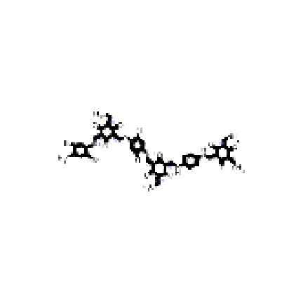 C/C=C1\C(=O)/C(=C/Nc2ccc(N/C=C3\C(=O)/C(=C/C)C(=O)/C(=C/Nc4cc(Cl)c(N/C=C5\C(=O)/C(=C/C)C(=O)/C(=C/Nc6cc(Br)c(C)cc6Br)C5=O)cc4Cl)C3=O)cc2)C(=O)/C(=C/N)C1=O